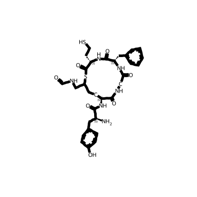 N[C@@H](Cc1ccc(O)cc1)C(=O)N[C@H]1CCC(CNC=O)SC(=O)[C@H](CCS)NC(=O)[C@H](Cc2ccccc2)NC(=O)CNC1=O